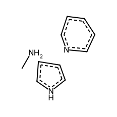 CN.c1cc[nH]c1.c1ccncc1